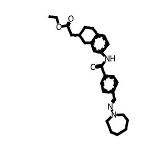 CCOC(=O)CC1CCc2ccc(NC(=O)c3ccc(C=NN4CCCCCC4)cc3)cc2C1